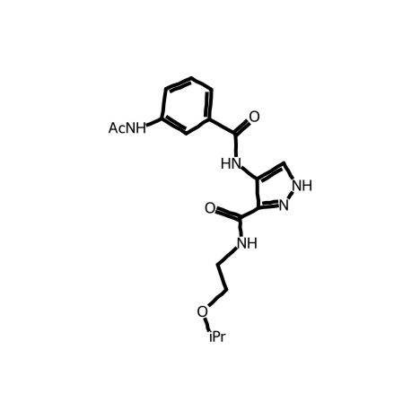 CC(=O)Nc1cccc(C(=O)Nc2c[nH]nc2C(=O)NCCOC(C)C)c1